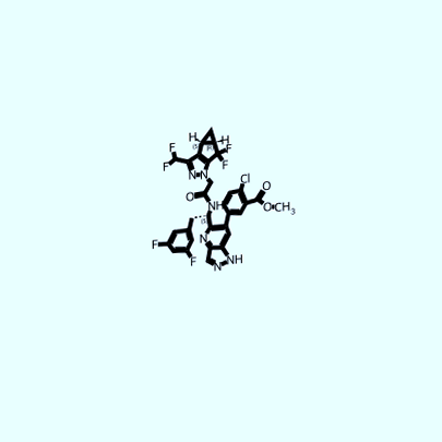 COC(=O)c1cc(-c2cc3[nH]ncc3nc2[C@H](Cc2cc(F)cc(F)c2)NC(=O)Cn2nc(C(F)F)c3c2C(F)(F)[C@@H]2C[C@H]32)ccc1Cl